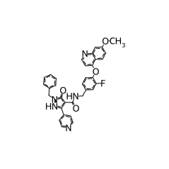 COc1ccc2c(Oc3ccc(CNC(=O)c4c(-c5ccncc5)[nH]n(Cc5ccccc5)c4=O)cc3F)ccnc2c1